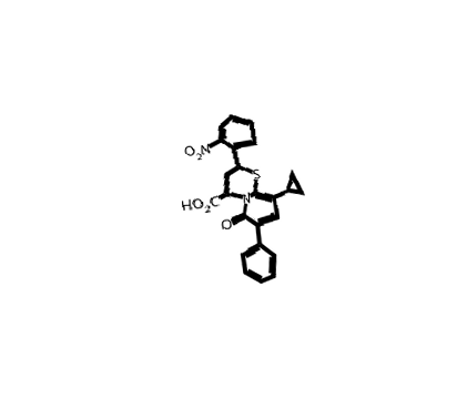 O=C(O)C1CC(c2ccccc2[N+](=O)[O-])Sc2c(C3CC3)cc(-c3ccccc3)c(=O)n21